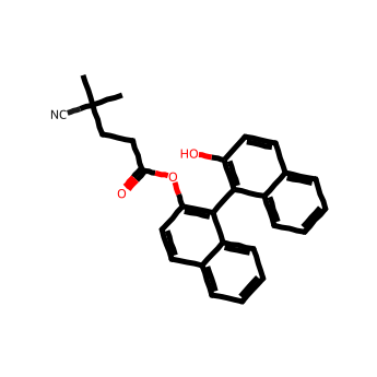 CC(C)(C#N)CCC(=O)Oc1ccc2ccccc2c1-c1c(O)ccc2ccccc12